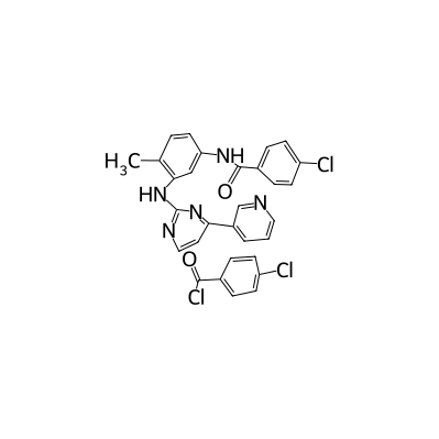 Cc1ccc(NC(=O)c2ccc(Cl)cc2)cc1Nc1nccc(-c2cccnc2)n1.O=C(Cl)c1ccc(Cl)cc1